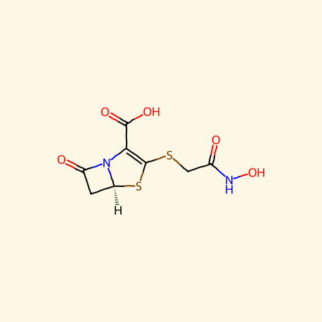 O=C(CSC1=C(C(=O)O)N2C(=O)C[C@@H]2S1)NO